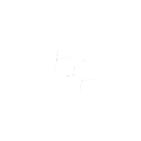 CC(O)C1OCC(C)(C)CO1.CCC